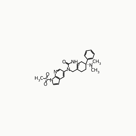 CN(C)[C@@]1(c2ccccc2)CC=C(CN(C(N)=O)c2cnc3c(ccn3S(C)(=O)=O)c2)CC1